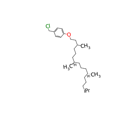 CC(C)CCC[C@@H](C)CCC[C@@H](C)CCCC(C)CCOc1ccc(CCl)cc1